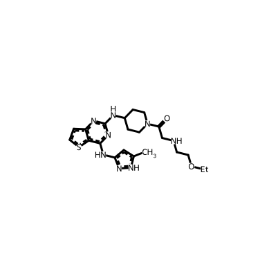 CCOCCNCC(=O)N1CCC(Nc2nc(Nc3cc(C)[nH]n3)c3sccc3n2)CC1